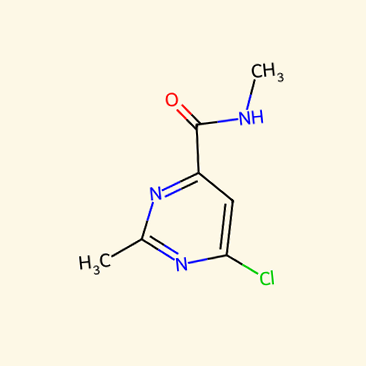 CNC(=O)c1cc(Cl)nc(C)n1